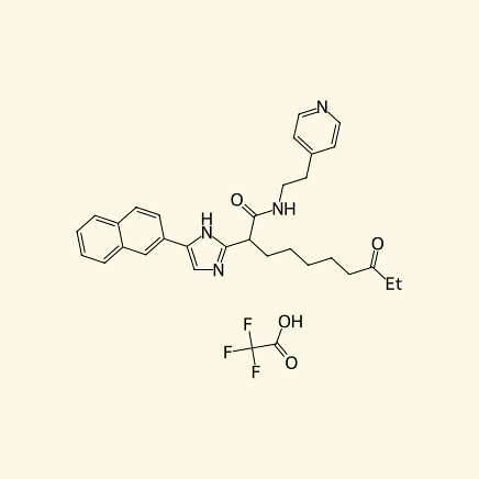 CCC(=O)CCCCCC(C(=O)NCCc1ccncc1)c1ncc(-c2ccc3ccccc3c2)[nH]1.O=C(O)C(F)(F)F